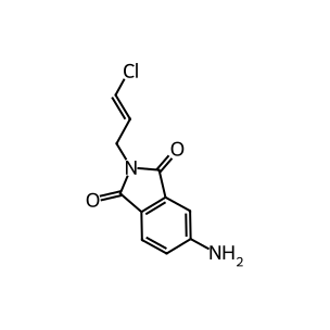 Nc1ccc2c(c1)C(=O)N(C/C=C/Cl)C2=O